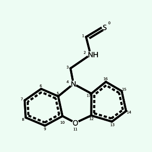 S=[C]NCN1c2ccccc2Oc2ccccc21